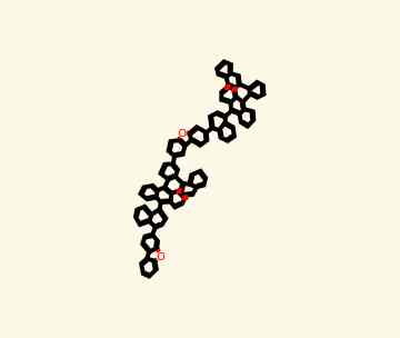 c1ccc(-c2c3ccccc3c(-c3ccc(-c4ccc5c(c4)oc4ccc(-c6ccc(-c7c8ccccc8c(-c8ccc(-c9ccc%10c(c9)oc9ccccc9%10)c9ccccc89)c8ccccc78)c(-c7cccc8ccccc78)c6)cc45)c4ccccc34)c3ccccc23)c(-c2ccc3ccccc3c2)c1